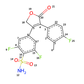 Cc1cc(C2=C(c3cc(F)c(S(N)(=O)=O)c(F)c3)COC2=O)ccc1F